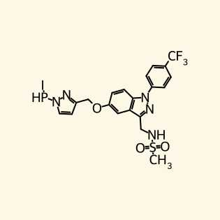 CS(=O)(=O)NCc1nn(-c2ccc(C(F)(F)F)cc2)c2ccc(OCc3ccn(PI)n3)cc12